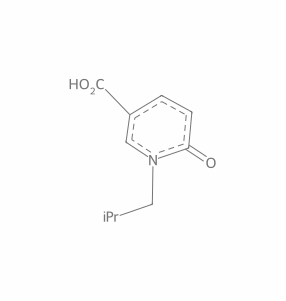 CC(C)Cn1cc(C(=O)O)ccc1=O